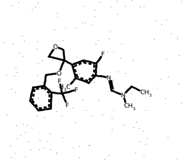 CCN(C)C=Nc1cc(C)c(C2(OCc3ccccc3C(F)(F)F)COC2)cc1F